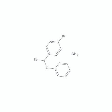 CCC(Oc1ccccc1)c1ccc(Br)cc1.N